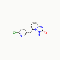 O=c1nc2cccc(Cc3ccc(Cl)nc3)n2[nH]1